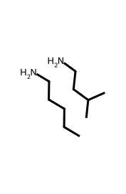 CC(C)CCN.CCCCCN